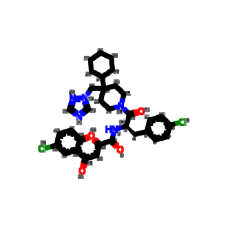 O=C(N[C@H](Cc1ccc(Cl)cc1)C(=O)N1CCC(Cn2cncn2)(C2CCCCC2)CC1)c1cc(=O)c2cc(Cl)ccc2o1